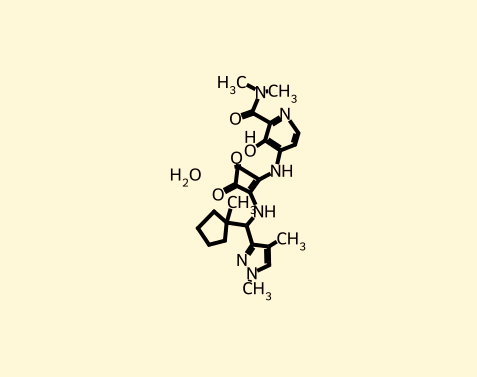 Cc1cn(C)nc1C(Nc1c(Nc2ccnc(C(=O)N(C)C)c2O)c(=O)c1=O)C1(C)CCCC1.O